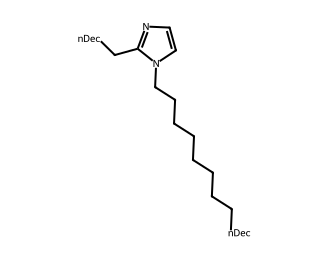 CCCCCCCCCCCCCCCCCCn1ccnc1CCCCCCCCCCC